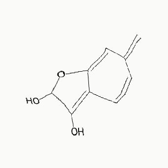 C=c1ccc2c(c1)OC(O)C=2O